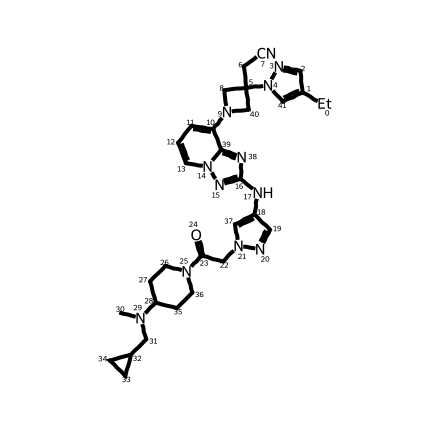 CCc1cnn(C2(CC#N)CN(c3cccn4nc(Nc5cnn(CC(=O)N6CCC(N(C)CC7CC7)CC6)c5)nc34)C2)c1